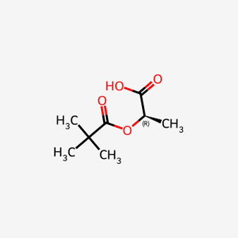 C[C@@H](OC(=O)C(C)(C)C)C(=O)O